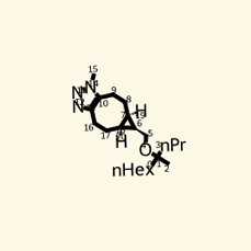 CCCCCCC(C)(CCC)OC[C@@H]1[C@@H]2CCc3c(nnn3C)CC[C@@H]21